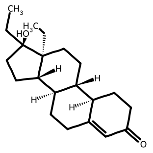 CC[C@@]1(O)CC[C@H]2[C@@H]3CCC4=CC(=O)CC[C@@H]4[C@H]3CC[C@@]21CC